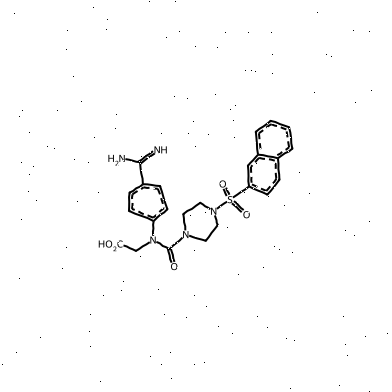 N=C(N)c1ccc(N(CC(=O)O)C(=O)N2CCN(S(=O)(=O)c3ccc4ccccc4c3)CC2)cc1